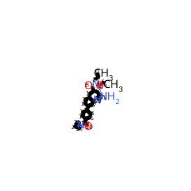 CCCN(OCC)C(=O)C1=Cc2ccc(-c3ccc(C(=O)N4CCC4)cc3)cc2N=C(N)C1